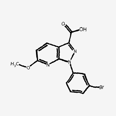 COc1ccc2c(C(=O)O)nn(-c3cccc(Br)c3)c2n1